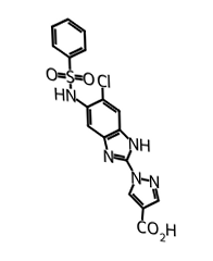 O=C(O)c1cnn(-c2nc3cc(NS(=O)(=O)c4ccccc4)c(Cl)cc3[nH]2)c1